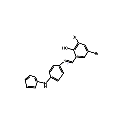 Oc1c(Br)cc(Br)cc1/C=N/c1ccc(Nc2ccccc2)cc1